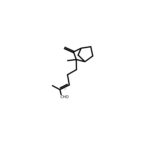 C=C1C2CCC(C2)C1(C)CC/C=C(\C)C=O